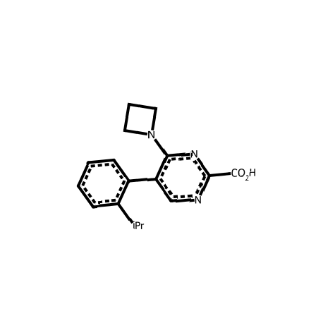 CC(C)c1ccccc1-c1cnc(C(=O)O)nc1N1CCC1